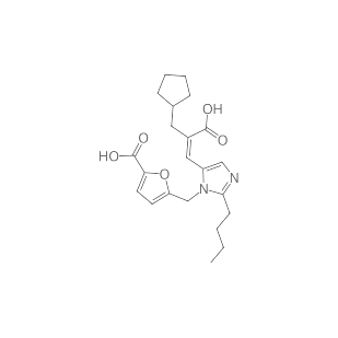 CCCCc1ncc(C=C(CC2CCCC2)C(=O)O)n1Cc1ccc(C(=O)O)o1